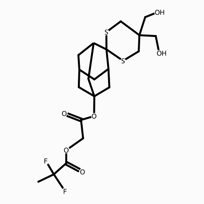 CC(F)(F)C(=O)OCC(=O)OC12CC3CC(C1)C1(SCC(CO)(CO)CS1)C(C3)C2